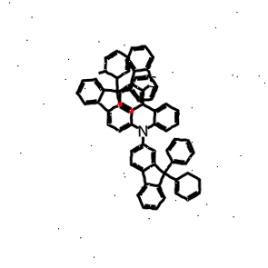 CC1C=CC=CC1C1(c2ccccc2)c2ccccc2-c2ccc(N(c3ccc4c(c3)C(C3=CC=CCC3)(c3ccccc3)c3ccccc3-4)c3ccccc3-c3cccc4c3sc3ccccc34)cc21